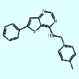 Cc1ccc(CNc2ncnc3cc(-c4ccccc4)sc23)cc1